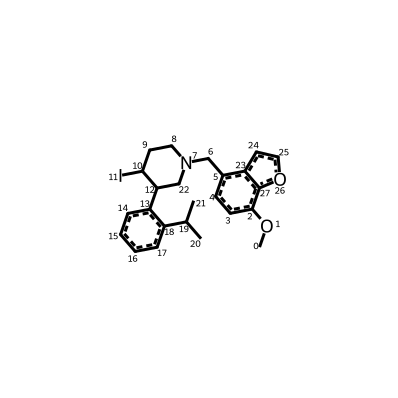 COc1ccc(CN2CCC(I)C(c3ccccc3C(C)C)C2)c2ccoc12